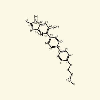 COCCCc1ccc(-c2ccc(-c3nc4cc(C)[nH]c4cc3F)cc2)cc1